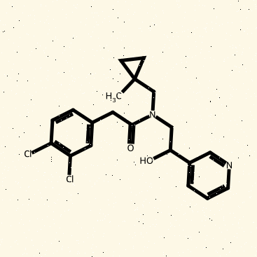 CC1(CN(CC(O)c2cccnc2)C(=O)Cc2ccc(Cl)c(Cl)c2)CC1